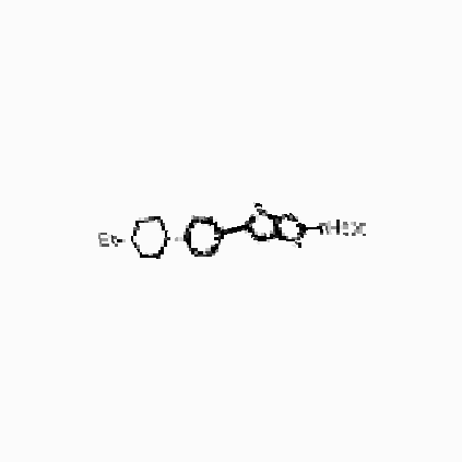 CCCCCCCc1cc2sc(-c3ccc([C@H]4CC[C@H](CC)CC4)cc3)cc2s1